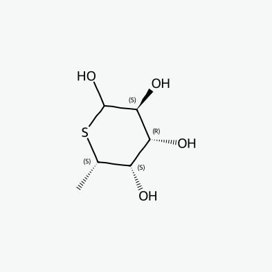 C[C@@H]1SC(O)[C@@H](O)[C@H](O)[C@@H]1O